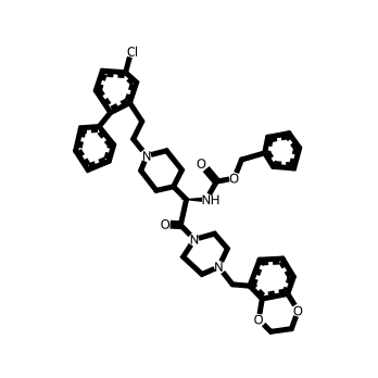 O=C(N[C@@H](C(=O)N1CCN(Cc2cccc3c2OCCO3)CC1)C1CCN(CCc2cc(Cl)ccc2-c2ccccc2)CC1)OCc1ccccc1